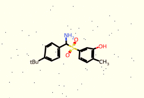 Cc1ccc(S(=O)(=O)C(N)c2ccc(C(C)(C)C)cc2)cc1O